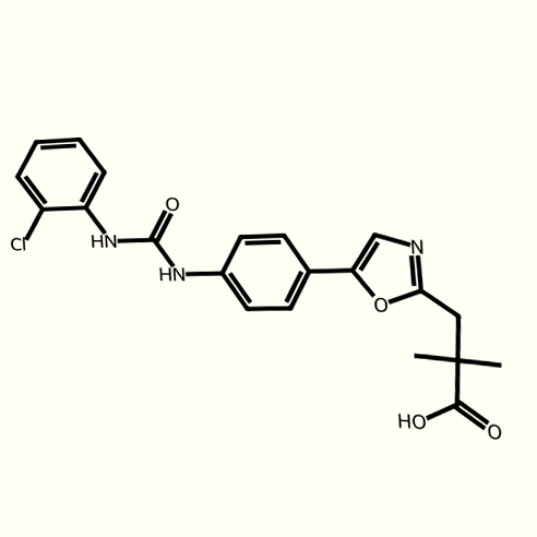 CC(C)(Cc1ncc(-c2ccc(NC(=O)Nc3ccccc3Cl)cc2)o1)C(=O)O